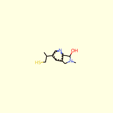 CC(CS)c1cnc2c(c1)CN(C)C2O